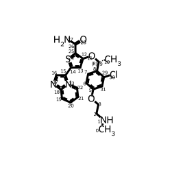 CNCCOc1ccc([C@@H](C)Oc2cc(-c3cnc4ccccn34)sc2C(N)=O)c(Cl)c1